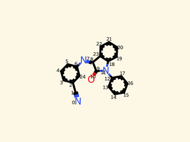 N#Cc1cccc(/N=C2\C(=O)N(c3ccccc3)c3ccccc32)c1